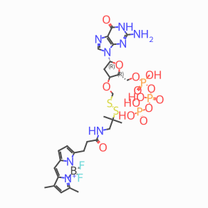 CC1=CC(C)=[N+]2C1=Cc1ccc(CCC(=O)NCC(C)(C)SSCOC3C[C@H](n4cnc5c(=O)[nH]c(N)nc54)O[C@@H]3COP(=O)(O)OP(=O)(O)OP(=O)(O)O)n1[B-]2(F)F